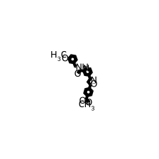 COC(=O)c1ccc(C2CC(c3ccnc(C(=O)NCc4cccc(OC)c4)c3)=NO2)cc1